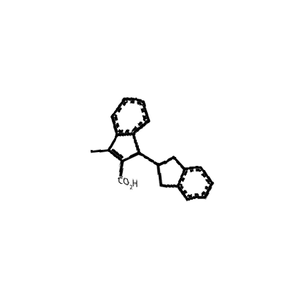 CC1=C(C(=O)O)C(C2Cc3ccccc3C2)c2ccccc21